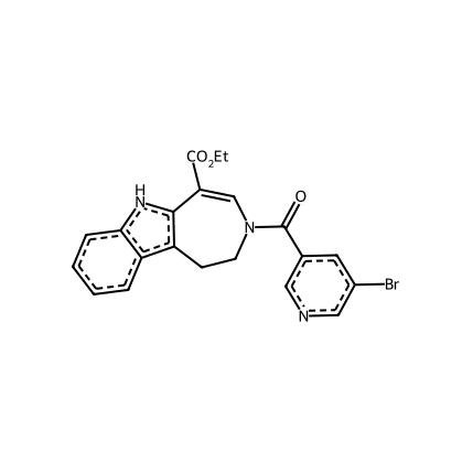 CCOC(=O)C1=CN(C(=O)c2cncc(Br)c2)CCc2c1[nH]c1ccccc21